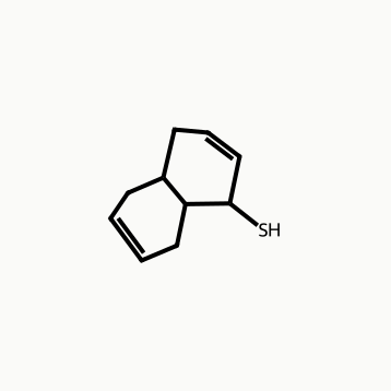 SC1C=CCC2CC=CCC12